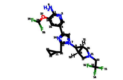 Nc1ncc(-c2cn(C3[C@H]4CN(CC(F)(F)F)C[C@@H]34)c(CC3CC3)n2)cc1OC(F)F